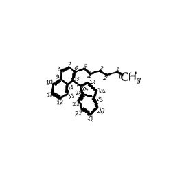 CCCCCCc1ccc2ccccc2c1[C]1C=Cc2ccccc21